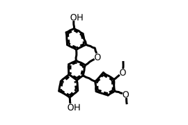 COc1ccc(-c2c3c(cc4ccc(O)cc24)-c2ccc(O)cc2CO3)cc1OC